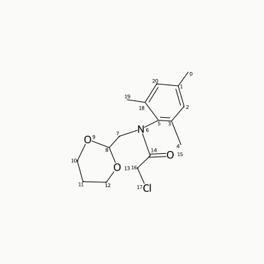 Cc1cc(C)c(N(CC2OCCCO2)C(=O)CCl)c(C)c1